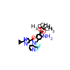 CC1(C)OB(c2ccc(CN(C(=O)c3cnc(C4CC4)nc3)c3cccnc3C(F)(F)F)cc2N)OC1(C)C